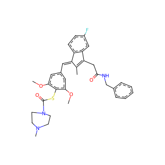 COc1cc(C=C2C(C)=C(CC(=O)NCc3ccccc3)c3cc(F)ccc32)cc(OC)c1SC(=O)N1CCN(C)CC1